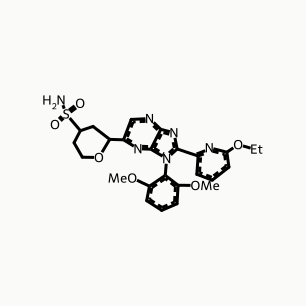 CCOc1cccc(-c2nc3ncc(C4CC(S(N)(=O)=O)CCO4)nc3n2-c2c(OC)cccc2OC)n1